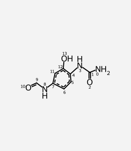 NC(=O)Nc1ccc(NC=O)cc1O